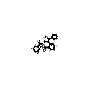 O=C(Nc1onc(-c2ccsc2)c1-c1ccccc1C(=O)O)c1ccccc1